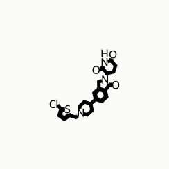 O=C1CCC(N2Cc3cc(C4CCN(Cc5ccc(Cl)s5)CC4)ccc3C2=O)C(=O)N1